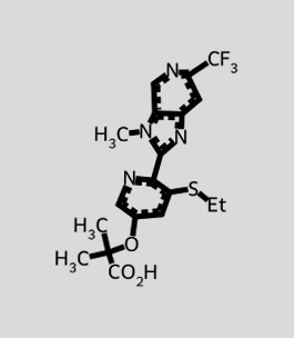 CCSc1cc(OC(C)(C)C(=O)O)cnc1-c1nc2cc(C(F)(F)F)ncc2n1C